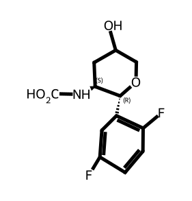 O=C(O)N[C@H]1CC(O)CO[C@@H]1c1cc(F)ccc1F